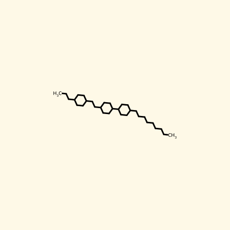 CCCCCCCCCC1CCC(C2CCC(CCC3CCC(CCC)CC3)CC2)CC1